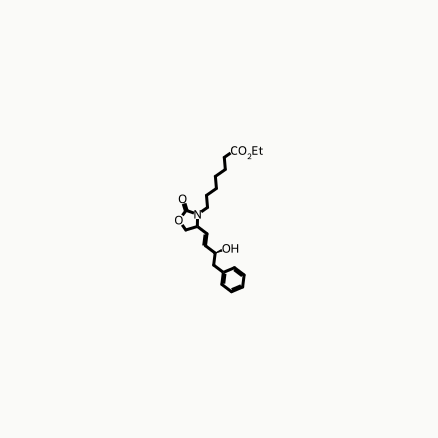 CCOC(=O)CCCCCCN1C(=O)OCC1/C=C/[C@@H](O)Cc1ccccc1